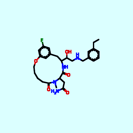 CCc1cccc(CNCC(O)C2Cc3cc(F)cc(c3)OCCCCC(=O)N(C)C(CC(N)=O)C(=O)N2)c1